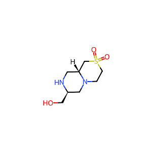 O=S1(=O)CCN2C[C@@H](CO)NC[C@@H]2C1